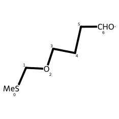 CSCOCCC[C]=O